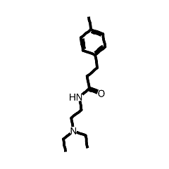 CCN(CC)CCNC(=O)CCc1ccc(C)cc1